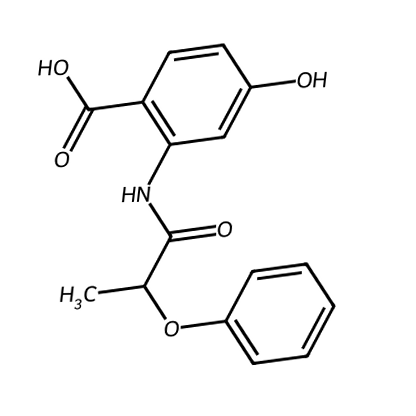 CC(Oc1ccccc1)C(=O)Nc1cc(O)ccc1C(=O)O